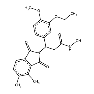 CCOc1cc(C(CC(=O)NO)N2C(=O)c3ccc(C)c(C)c3C2=O)ccc1OC